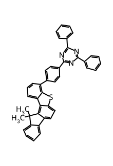 CC1(C)c2ccccc2-c2ccc3sc4c(-c5ccc(-c6nc(-c7ccccc7)nc(-c7ccccc7)n6)cc5)cccc4c3c21